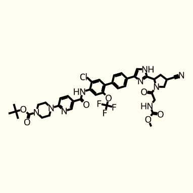 COC(=O)NCC(=O)N1CC(C#N)CC1c1nc(-c2ccc(-c3cc(Cl)c(NC(=O)c4ccc(N5CCN(C(=O)OC(C)(C)C)CC5)nc4)cc3OC(F)(F)F)cc2)c[nH]1